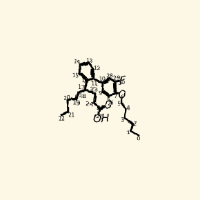 CCCCCCOc1ccc(-c2ccccc2C(CCCCC)CCC(=O)O)cc1F